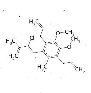 C=CCc1c(C)c(CC(Cl)C(=C)C)c(CC=C)c(OC)c1OC